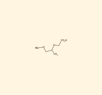 CC(COC(C)(C)C)OCC(=O)O